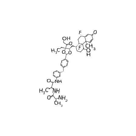 CC[C@]1(C(=O)CO)OC(c2ccc(Cc3cccc(NC(=O)[C@H](C)NC(=O)[C@H](C)N)c3)cc2)O[C@@H]1C[C@@H]1CCC(O)[C@@]2(F)C1C[C@H](F)C1=CC(=O)C=CC12C